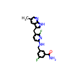 Cc1cnc2[nH]cc(Cc3ccc(NCc4cc(F)cc(C(N)=O)c4)nc3F)c2c1